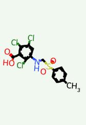 Cc1ccc(S(=O)(=O)CNc2cc(Cl)c(Cl)c(C(=O)O)c2Cl)cc1